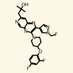 CC(C)(O)Cc1cc2nc(-c3cnn(CF)c3)c(N3CCC(Oc4ccc(F)cc4F)CC3)nc2cn1